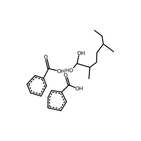 CCC(C)CCC(C)C(O)O.O=C(O)c1ccccc1.O=C(O)c1ccccc1